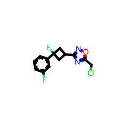 Fc1cccc(C2(F)CC(c3noc(CCl)n3)C2)c1